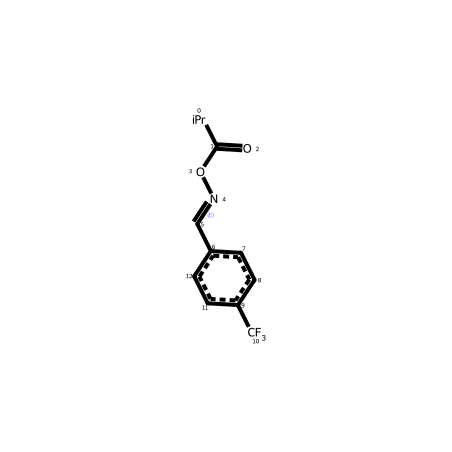 CC(C)C(=O)O/N=C/c1c[c]c(C(F)(F)F)cc1